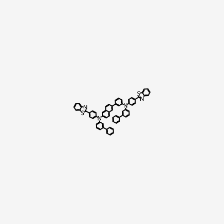 c1ccc(-c2cccc(N(c3ccc(-c4nc5ccccc5s4)cc3)c3cccc(-c4ccc5cc(N(c6ccc(-c7nc8ccccc8s7)cc6)c6cccc(-c7ccccc7)c6)ccc5c4)c3)c2)cc1